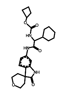 O=C(NC(C(=O)Nc1ccc2c(c1)NC(=O)C21CCOCC1)C1CCCCC1)OC1CCC1